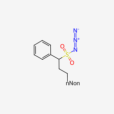 CCCCCCCCCCCC(c1ccccc1)S(=O)(=O)N=[N+]=[N-]